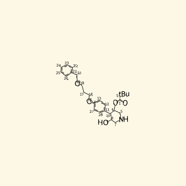 CC(C)(C)C(=O)OC1CNCC(O)C1c1ccc(OCCCOCc2ccccc2)cc1